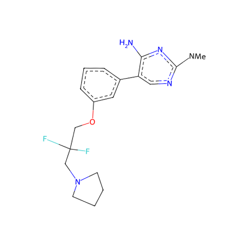 CNc1ncc(-c2cccc(OCC(F)(F)CN3CCCC3)c2)c(N)n1